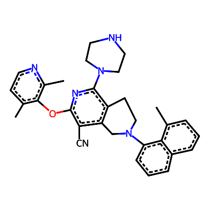 Cc1ccnc(C)c1Oc1nc(N2CCNCC2)c2c(c1C#N)CN(c1cccc3cccc(C)c13)CC2